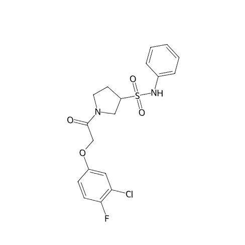 O=C(COc1ccc(F)c(Cl)c1)N1CCC(S(=O)(=O)Nc2ccccc2)C1